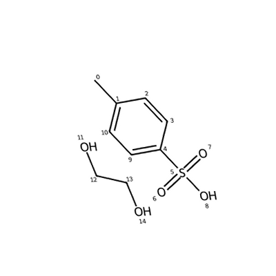 Cc1ccc(S(=O)(=O)O)cc1.OCCO